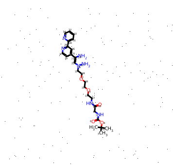 CC(C)(C)OC(=O)NCC(=O)NCCOCCOCCN(N)/C=C(\N)c1ccnc(-c2ccccn2)c1